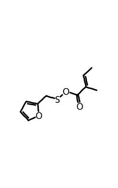 CC=C(C)C(=O)OSCc1ccco1